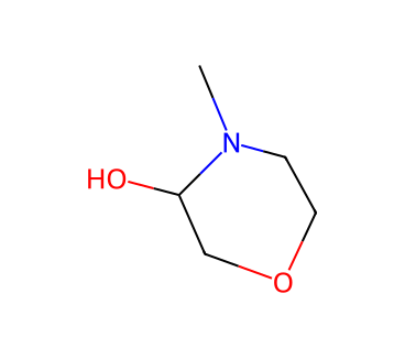 CN1CCOCC1O